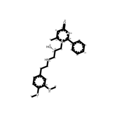 COc1ccc(CCNC[C@H](O)Cn2c(C)cc(=O)nc2-c2ccccc2)cc1OC